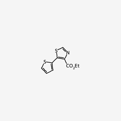 CCOC(=O)c1ncsc1-c1cccs1